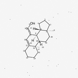 C[C@@]12CCC[C@H]1[C@@H]1/C(=N\O)C=C3CCCC[C@]3(C)[C@H]1CC2